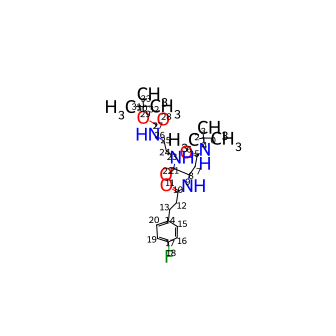 CC(C)(C)NC(=O)CC(NC(=O)CCc1ccc(F)cc1)C(=O)NCCNC(=O)OC(C)(C)C